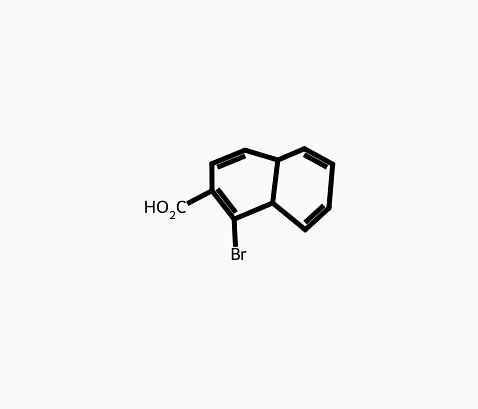 O=C(O)C1=C(Br)C2C=CC=CC2C=C1